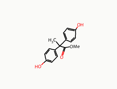 COC(=O)C(C)(c1ccc(O)cc1)c1ccc(O)cc1